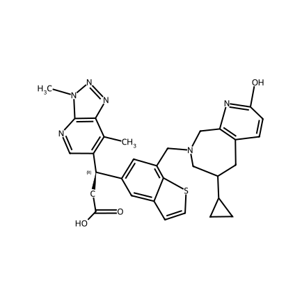 Cc1c([C@H](CC(=O)O)c2cc(CN3Cc4nc(O)ccc4CC(C4CC4)C3)c3sccc3c2)cnc2c1nnn2C